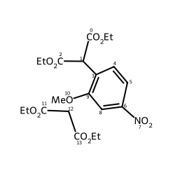 CCOC(=O)C(C(=O)OCC)c1ccc([N+](=O)[O-])cc1OC.CCOC(=O)CC(=O)OCC